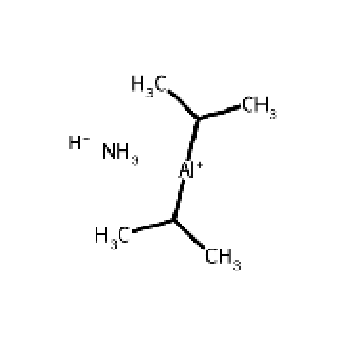 C[CH](C)[Al+][CH](C)C.N.[H-]